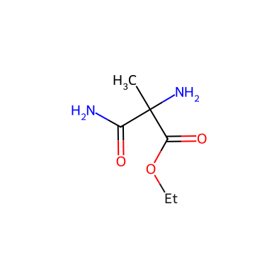 CCOC(=O)C(C)(N)C(N)=O